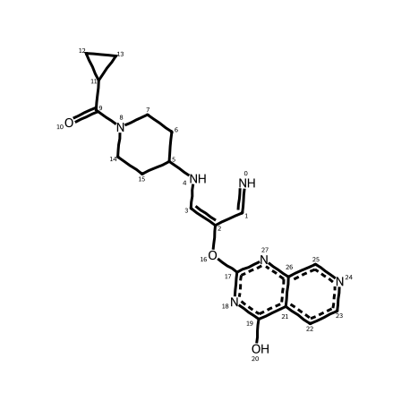 N=C/C(=C\NC1CCN(C(=O)C2CC2)CC1)Oc1nc(O)c2ccncc2n1